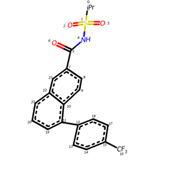 CC(C)S(=O)(=O)NC(=O)c1ccc2c(-c3ccc(C(F)(F)F)cc3)cccc2c1